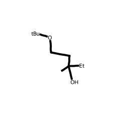 CCC(C)(O)CCOC(C)(C)C